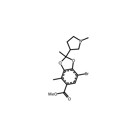 COC(=O)c1cc(Br)c2c(c1C)OC(C)(C1CCN(C)C1)O2